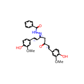 COc1cc(/C=C/C(=O)CC(/C=C/c2ccc(O)c(OC)c2)=N/NC(=O)c2ccccc2)ccc1O